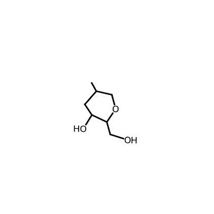 CC1COC(CO)C(O)C1